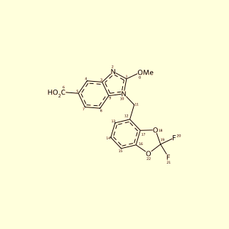 COc1nc2cc(C(=O)O)ccc2n1Cc1cccc2c1OC(F)(F)O2